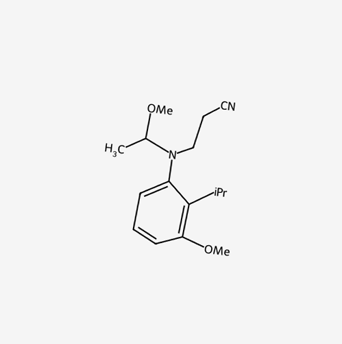 COc1cccc(N(CCC#N)C(C)OC)c1C(C)C